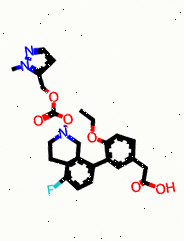 CCOc1ccc(CC(=O)O)cc1-c1ccc(F)c2c1CN(OC(=O)OCc1ccnn1C)CC2